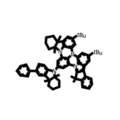 CC(C)(C)c1cc2c3c(c1)C1(C)CCCCC1(C)N3c1cc(N3c4ccc(-c5ccccc5)cc4C4(C)CCCCC34C)cc3c1B2c1cc(C(C)(C)C)cc2c4c(n-3c12)C(C)(C)c1ccccc1-4